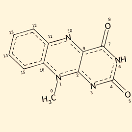 Cn1c2nc(=O)[nH]c(=O)c-2nc2ccccc21